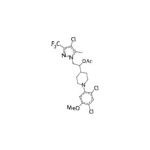 COc1cc(N2CCC(C(Cn3nc(C(F)(F)F)c(Cl)c3C)OC(C)=O)CC2)c(Cl)cc1Cl